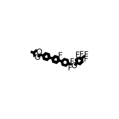 CC1COC(c2ccc(-c3ccc(C4CCC(C(F)(F)Oc5ccc(C(F)(F)F)c(F)c5)CC4)c(F)c3)cc2)OC1